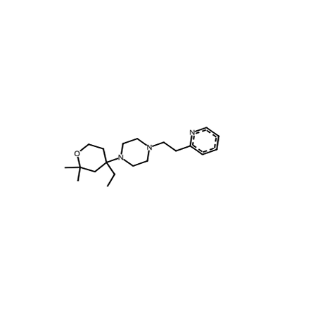 CCC1(N2CCN(CCc3ccccn3)CC2)CCOC(C)(C)C1